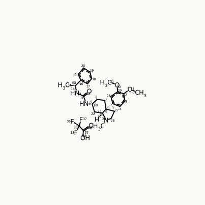 COc1ccc([C@@]23CC[C@@H](NC(=O)N[C@@H](C)c4ccccc4)C[C@@H]2N(C)CC3)cc1OC.O=C(O)C(F)(F)F